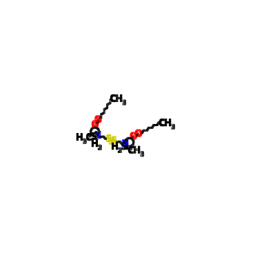 CCCCCCCCCOCOC1CCC(C)[SiH2]N(CCCSSSCCCN2CCC(OCOCCCCCCCCC)CCC(C)[SiH2]2)CC1